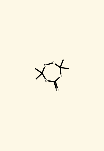 CC1(C)OOC(C)(C)OC(=O)O1